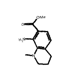 COC(=O)c1ccc2c(c1N)N(C)CCC2